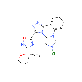 CC1(c2noc(-c3nnc4n3C3=CN(Cl)CN3c3ccccc3-4)n2)CCCO1